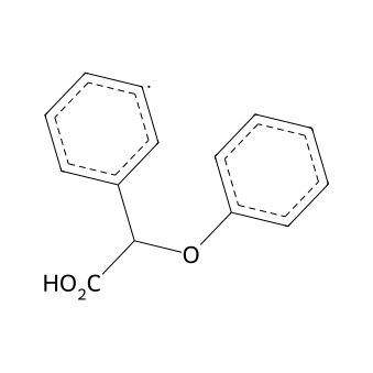 O=C(O)C(Oc1ccccc1)c1c[c]ccc1